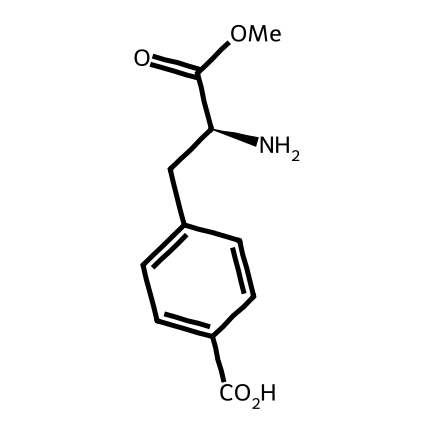 COC(=O)[C@@H](N)Cc1ccc(C(=O)O)cc1